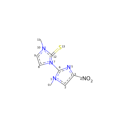 Cn1cc([N+](=O)[O-])nc1-n1ccn(C)c1=S